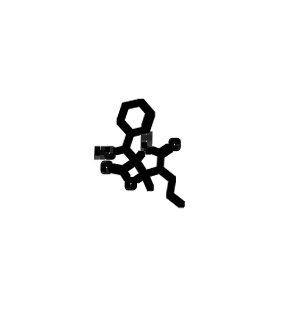 CCCC1C(=O)NC2(C(O)C3C=CCCC3)C(=O)OC12C